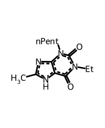 CCCCCn1c(=O)n(CC)c(=O)c2[nH]c(C)nc21